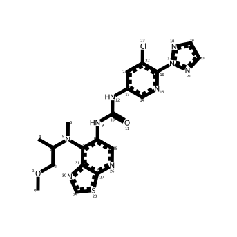 COCC(C)N(C)c1c(NC(=O)Nc2cnc(-n3nccn3)c(Cl)c2)cnc2scnc12